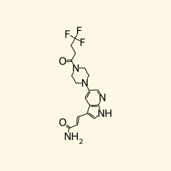 NC(=O)C=Cc1c[nH]c2ncc(N3CCN(C(=O)CCC(F)(F)F)CC3)cc12